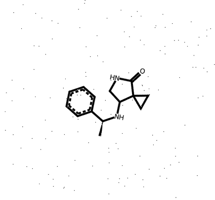 C[C@H](NC1CNC(=O)C12CC2)c1ccccc1